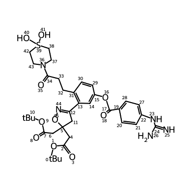 CC(C)(C)OC(=O)CC1(CC(=O)OC(C)(C)C)CC(c2cc(OC(=O)c3ccc(NC(=N)N)cc3)ccc2CCC(=O)N2CCS(O)(O)CC2)=NO1